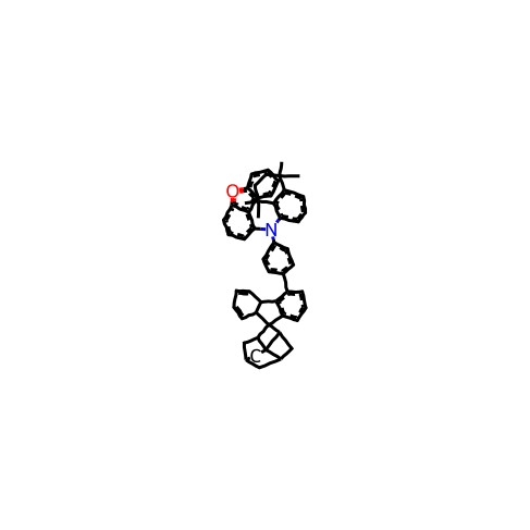 CC1(C)CCC(C)(C)c2c(N(c3ccc(-c4cccc5c4C4C=CC=CC4C54C5CC6CC7CC4C75C6)cc3)c3cccc4oc5ccccc5c34)cccc21